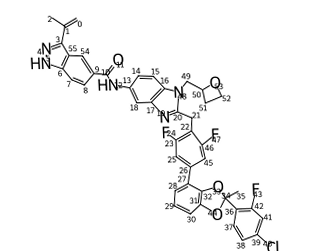 C=C(C)c1n[nH]c2ccc(C(=O)Nc3ccc4c(c3)nc(Cc3c(F)cc(-c5cccc6c5OC(C)(c5ccc(Cl)cc5F)O6)cc3F)n4CC3CCO3)cc12